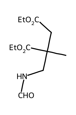 CCOC(=O)CC(C)(CNC=O)C(=O)OCC